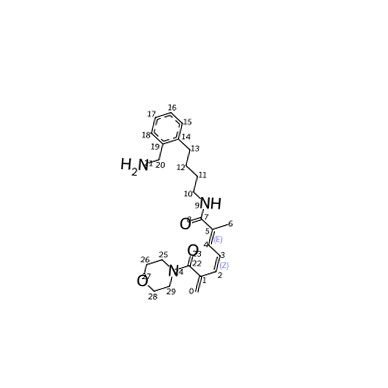 C=C(/C=C\C=C(/C)C(=O)NCCCCc1ccccc1CN)C(=O)N1CCOCC1